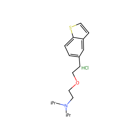 CC(C)N(CCOCCc1ccc2sccc2c1)C(C)C.Cl